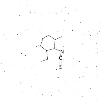 CCC1CCCC(C)C1N=C=S